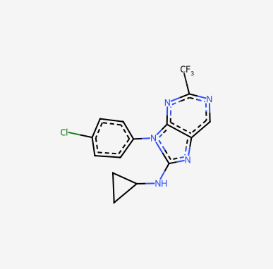 FC(F)(F)c1ncc2nc(NC3CC3)n(-c3ccc(Cl)cc3)c2n1